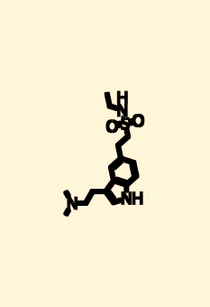 CCNS(=O)(=O)CCc1ccc2[nH]cc(CCN(C)C)c2c1